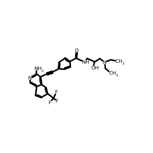 CCN(CC)CC(O)CNC(=O)c1ccc(C#Cc2c(N)ncc3ccc(C(F)(F)F)cc23)cc1